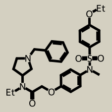 CCOc1ccc(S(=O)(=O)N(C)c2ccc(OCC(=O)N(CC)C3CCN(Cc4ccccc4)C3)cc2)cc1